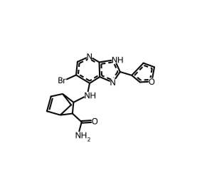 NC(=O)C1C2C=CC(C2)C1Nc1c(Br)cnc2[nH]c(-c3ccoc3)nc12